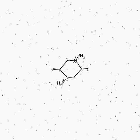 CC1CN(P)[C@@H](C)CN1P